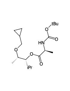 CC(C)[C@@H](OC(=O)[C@H](C)NC(=O)OC(C)(C)C)[C@H](C)OCC1CC1